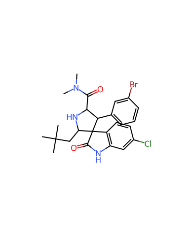 CN(C)C(=O)C1NC(CC(C)(C)C)C2(C(=O)Nc3cc(Cl)ccc32)C1c1cccc(Br)c1